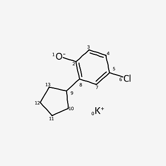 [K+].[O-]c1ccc(Cl)cc1C1CCCC1